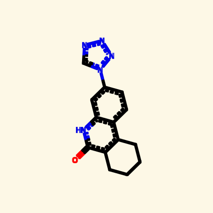 O=c1[nH]c2cc(-n3cnnn3)ccc2c2c1CCCC2